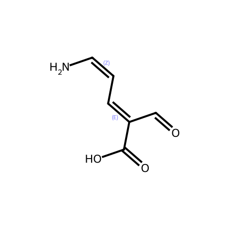 N/C=C\C=C(/C=O)C(=O)O